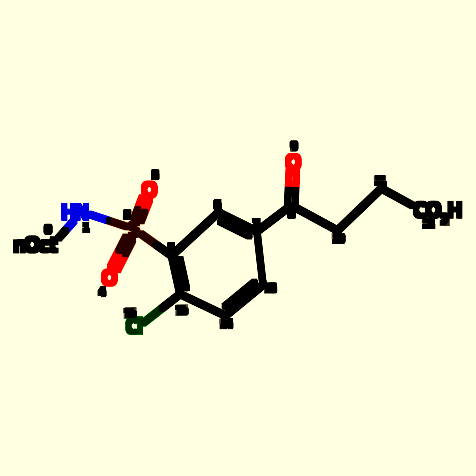 CCCCCCCCNS(=O)(=O)c1cc(C(=O)CCC(=O)O)ccc1Cl